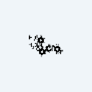 CC(=O)N(Cc1ccccc1C1CCN(Cc2ccc(F)cc2)CC1)c1cccc(C)c1